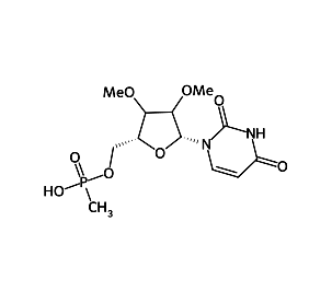 COC1C(OC)[C@@H](COP(C)(=O)O)O[C@H]1n1ccc(=O)[nH]c1=O